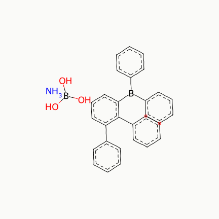 N.OB(O)O.c1ccc(B(c2ccccc2)c2cccc(-c3ccccc3)c2-c2ccccc2)cc1